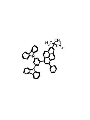 CC(C)(C)c1cc2ccc3c(-c4ccccc4)cc(-c4cc(-n5c6ccccc6c6ccccc65)cc(-n5c6ccccc6c6ccccc65)c4)c4ccc(c1)c2c34